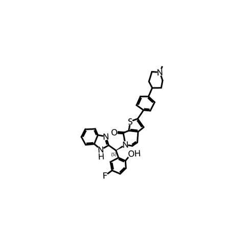 CN1CCC(c2ccc(-c3cc4ccn([C@H](c5nc6ccccc6[nH]5)c5cc(F)ccc5O)c(=O)c4s3)cc2)CC1